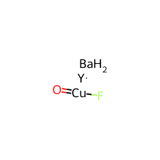 [BaH2].[O]=[Cu][F].[Y]